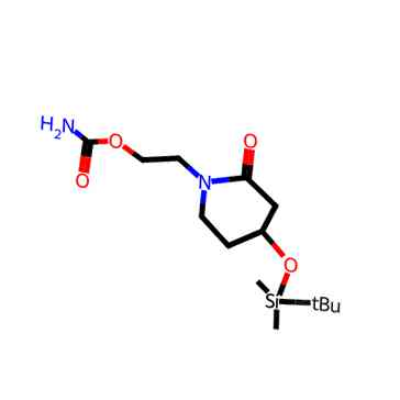 CC(C)(C)[Si](C)(C)OC1CCN(CCOC(N)=O)C(=O)C1